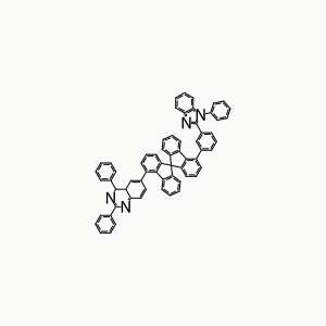 C1=CC2=NC(c3ccccc3)=NC(c3ccccc3)C2C=C1c1cccc2c1-c1ccccc1C21c2ccccc2-c2c(-c3cccc(-c4nc5ccccc5n4-c4ccccc4)c3)cccc21